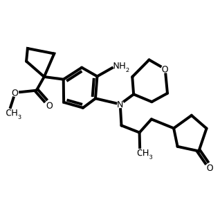 COC(=O)C1(c2ccc(N(CC(C)CC3CCC(=O)C3)C3CCOCC3)c(N)c2)CCC1